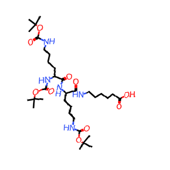 CC(C)(C)OC(=O)NCCCCC(NC(=O)OC(C)(C)C)C(=O)NC(CCCCNC(=O)OC(C)(C)C)C(=O)NCCCCCC(=O)O